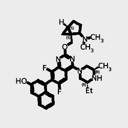 CC[C@@H]1CN(c2nc(OC[C@@]34C[C@@H]3CCC4N(C)C)nc3c(F)c(-c4cc(O)cc5ccccc45)c(F)cc23)C[C@@H](C)N1